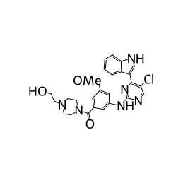 COc1cc(Nc2ncc(Cl)c(-c3c[nH]c4ccccc34)n2)cc(C(=O)N2CCN(CCO)CC2)c1